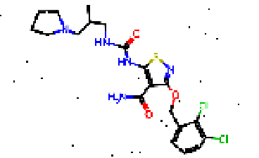 CC(CNC(=O)Nc1snc(OCc2cccc(Cl)c2Cl)c1C(N)=O)CN1CCCC1